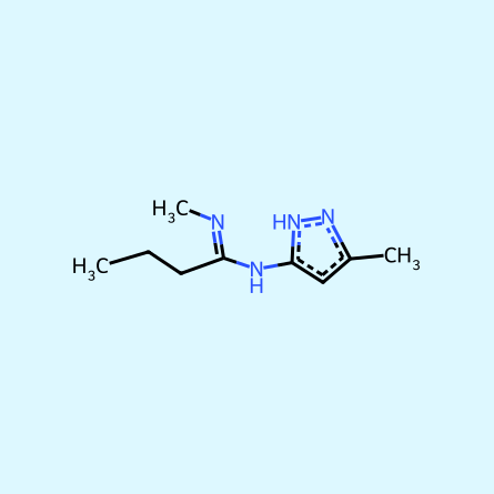 CCCC(=NC)Nc1cc(C)n[nH]1